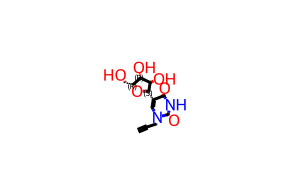 C#CCn1cc([C@@H]2O[C@H](CO)[C@H](O)C2O)c(=O)[nH]c1=O